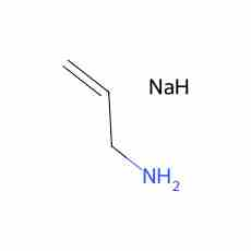 C=CCN.[NaH]